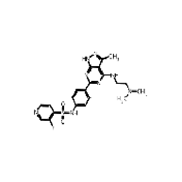 Cc1n[nH]c2nc(-c3ccc(NS(=O)(=O)c4ccncc4F)cc3)nc(NCCN(C)C)c12